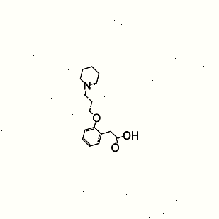 O=C(O)Cc1ccccc1OCCCN1CCCCC1